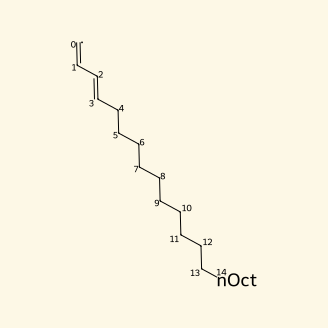 [CH]=CC=CCCCCCCCCCCCCCCCCCC